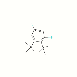 CC(C)(C)c1cc(F)cc(F)c1C(C)(C)C